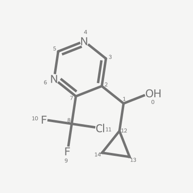 OC(c1cncnc1C(F)(F)Cl)C1CC1